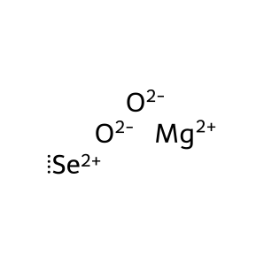 [Mg+2].[O-2].[O-2].[Se+2]